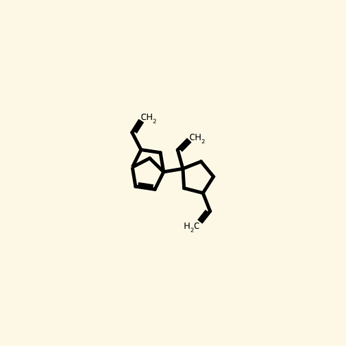 C=CC1CCC(C=C)(C23C=CC(C2)C(C=C)C3)C1